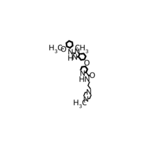 COc1ccccc1Nc1nc2cc(Oc3ccnc(C(=O)NCCCN4CCN(C)CC4)c3)ccc2n1C